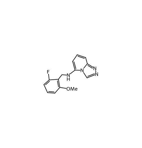 COc1cccc(F)c1CNc1cccc2nncn12